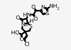 Nc1nc(C(=O)C(=O)NC2C(=O)N3CC(C=CCl)(C(=O)O)CS[C@H]23)cs1